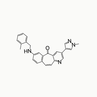 Cc1ccccc1CNc1ccc2ccc3ncc(-c4cnn(C)c4)cc3c(=O)c2c1